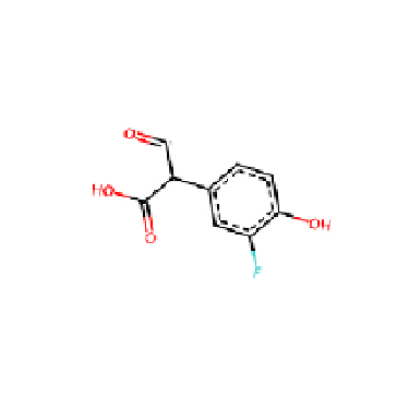 O=[C]C(C(=O)O)c1ccc(O)c(F)c1